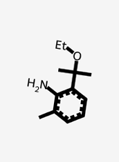 CCOC(C)(C)c1cccc(C)c1N